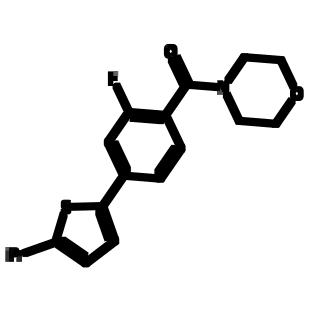 CC(C)c1ccc(-c2ccc(C(=O)N3CCOCC3)c(F)c2)s1